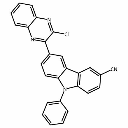 N#Cc1ccc2c(c1)c1cc(-c3nc4ccccc4nc3Cl)ccc1n2-c1ccccc1